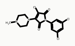 CN1CCN(C2=C(Cl)C(=O)N(c3cc(Cl)cc(Cl)c3)C2=O)CC1